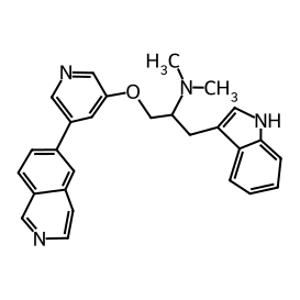 CN(C)C(COc1cncc(-c2ccc3cnccc3c2)c1)Cc1c[nH]c2ccccc12